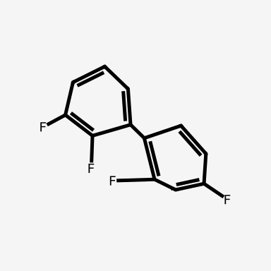 Fc1[c]c(F)c(-c2cccc(F)c2F)cc1